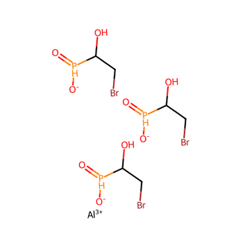 O=[PH]([O-])C(O)CBr.O=[PH]([O-])C(O)CBr.O=[PH]([O-])C(O)CBr.[Al+3]